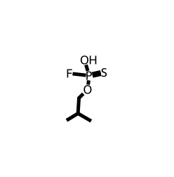 CC(C)COP(O)(F)=S